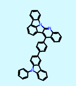 c1ccc(-n2c3ccccc3c3cc(-c4ccc(-c5c6ccccc6nc6c5c5cccc7c8ccccc8n6c75)cc4)ccc32)cc1